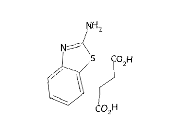 Nc1nc2ccccc2s1.O=C(O)CCC(=O)O